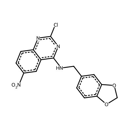 O=[N+]([O-])c1ccc2nc(Cl)nc(NCc3ccc4c(c3)OCO4)c2c1